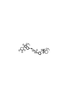 Cn1c(=O)n(C2CCC(=O)NC2=O)c2ccc(C#CCNC(=O)Nc3cccc(CS(=O)(=O)N4CCCCC4(C)C)c3)cc21